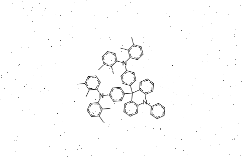 Cc1cccc(N(c2ccc(C3(c4ccc(N(c5cccc(C)c5C)c5cccc(C)c5C)cc4)c4ccccc4N(c4ccccc4)c4ccccc43)cc2)c2cccc(C)c2C)c1C